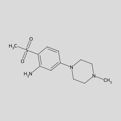 CN1CCN(c2ccc(S(C)(=O)=O)c(N)c2)CC1